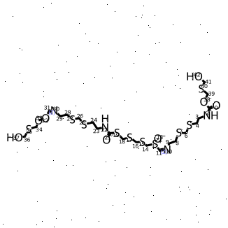 O=C(NCCSCSCC/N=C\[S+]([O-])CSCSCSC(=O)NCCSCSCC/N=C\OOCSCO)OCSCO